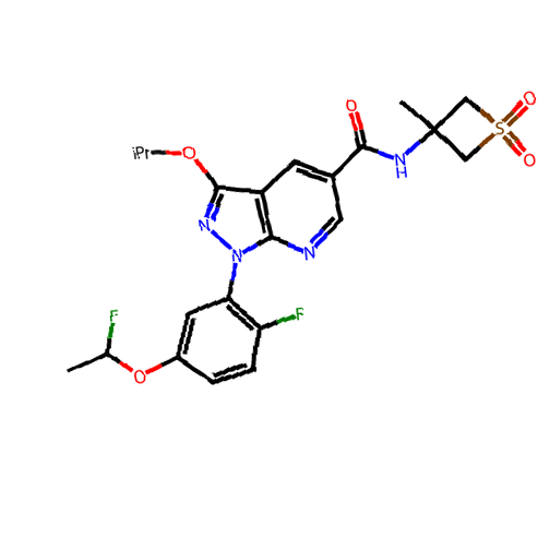 CC(C)Oc1nn(-c2cc(OC(C)F)ccc2F)c2ncc(C(=O)NC3(C)CS(=O)(=O)C3)cc12